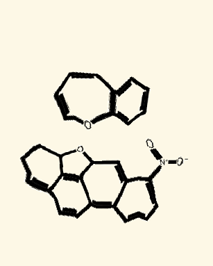 C1=COc2ccccc2C=C1.O=[N+]([O-])c1cccc2c1=CC1OC3CCC=c4ccc=2c1c43